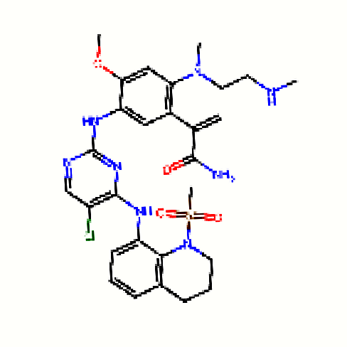 C=C(C(N)=O)c1cc(Nc2ncc(Cl)c(Nc3cccc4c3N(S(C)(=O)=O)CCC4)n2)c(OC)cc1N(C)CCNC